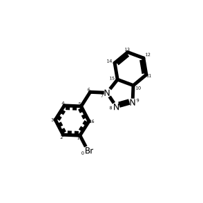 Brc1cccc(CN2N=NC3C=CC=CC32)c1